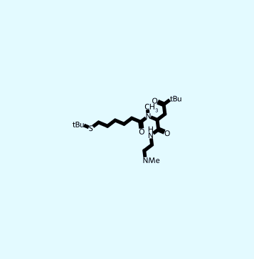 CNCCNC(=O)C(CC(=O)C(C)(C)C)N(C)C(=O)CCCCCSC(C)(C)C